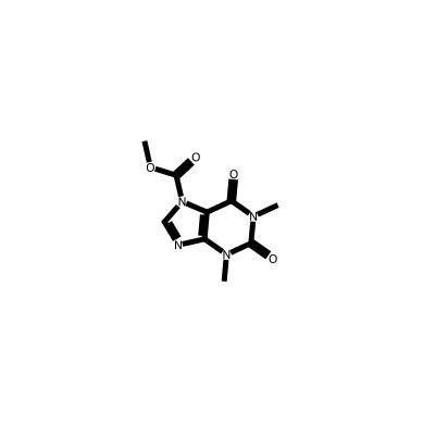 COC(=O)n1cnc2c1c(=O)n(C)c(=O)n2C